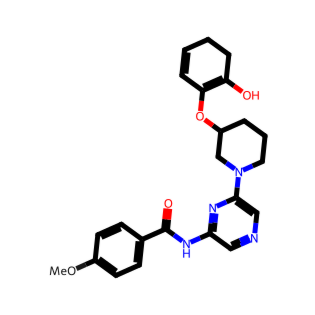 COc1ccc(C(=O)Nc2cncc(N3CCCC(OC4=C(O)CCC=C4)C3)n2)cc1